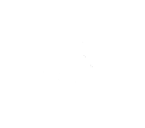 COC(=O)c1ccc2c(c1)S(=O)(=O)c1ccccc1N=C2N1CCOCC1